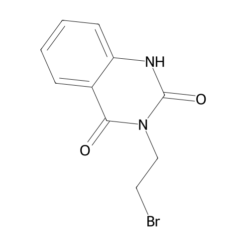 O=c1[nH]c2ccccc2c(=O)n1CCBr